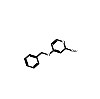 CC(=O)OC1C=C(OCc2ccccc2)C=CO1